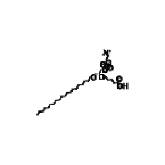 CCCCCCCCCCCCCCCCCCCCOC[C@H](COP(=O)([O-])OCC[N+](C)(C)C)OCCCCC(=O)O